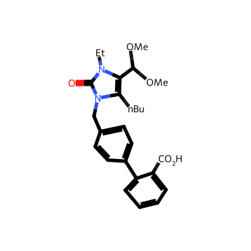 CCCCc1c(C(OC)OC)n(CC)c(=O)n1Cc1ccc(-c2ccccc2C(=O)O)cc1